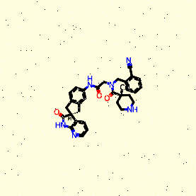 CC1(C(=O)N(CC(=O)Nc2ccc3c(c2)C[C@@]2(C3)C(=O)Nc3ncccc32)Cc2ccccc2C#N)CCNCC1